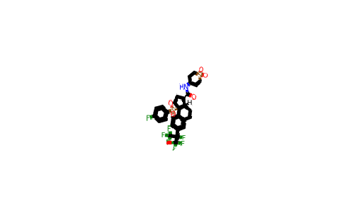 O=C(NC1CCS(=O)(=O)CC1)[C@@H]1CC[C@@]2(S(=O)(=O)c3ccc(F)cc3)c3ccc(C(F)(C(F)(F)F)C(F)(F)F)cc3CC[C@@H]12